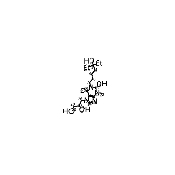 CCC(O)(CC)CCCCN1C(=O)c2c(ncn2CC(O)CO)N(C)C1O